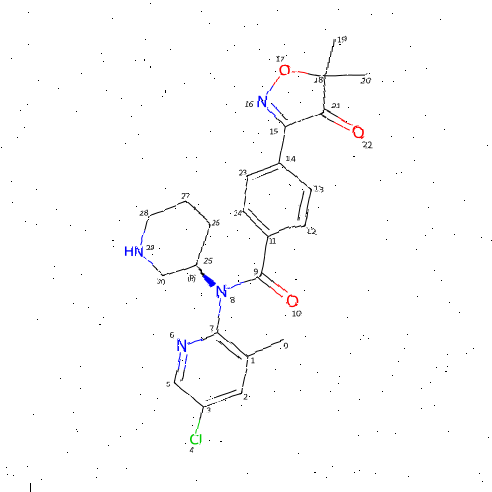 Cc1cc(Cl)cnc1N(C(=O)c1ccc(C2=NOC(C)(C)C2=O)cc1)[C@@H]1CCCNC1